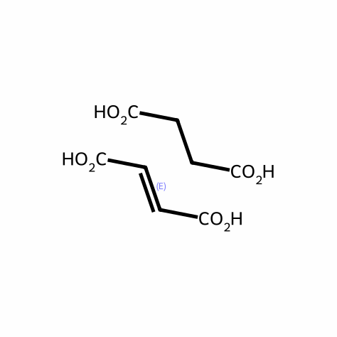 O=C(O)/C=C/C(=O)O.O=C(O)CCC(=O)O